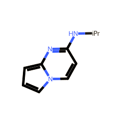 CC(C)Nc1ccn2cccc2n1